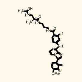 CCc1cc(Nc2nccn3c(-c4ccc(OC)c(F)c4F)cnc23)ccc1C(=O)NCCCNC(=O)[C@@H](N)CNC(=N)N